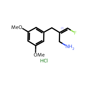 COc1cc(C/C(=C/F)CN)cc(OC)c1.Cl